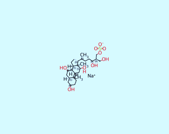 C[C@H](CC[C@@H](O)[C@H](CO)COS(=O)(=O)[O-])[C@H]1CC[C@H]2[C@@H]3[C@H](O)C[C@@H]4C[C@H](O)CC[C@]4(C)[C@H]3C[C@H](O)[C@]12C.[Na+]